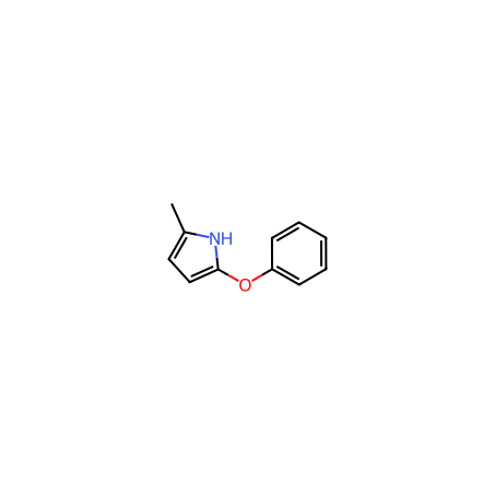 Cc1ccc(Oc2ccccc2)[nH]1